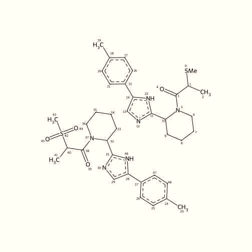 CSC(C)C(=O)N1CCCCC1c1ncc(-c2ccc(C)cc2)[nH]1.Cc1ccc(-c2cnc(C3CCCCN3C(=O)C(C)S(C)(=O)=O)[nH]2)cc1